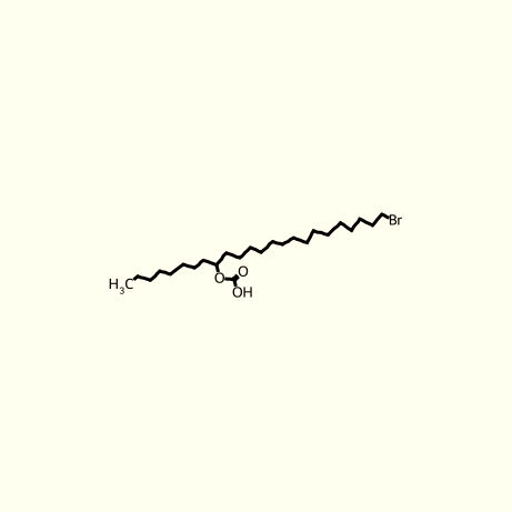 CCCCCCCCC(CCCCCCCCCCCCCCCBr)OC(=O)O